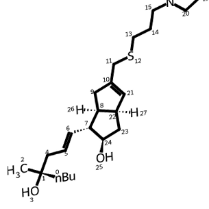 CCCC[C@](C)(O)C/C=C/[C@@H]1[C@H]2CC(CSCCCN3CCCC3)=C[C@H]2C[C@H]1O